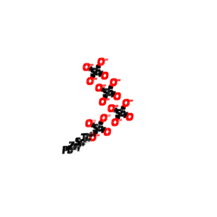 [O]=[Sb]([O-])([O-])[O-].[O]=[Sb]([O-])([O-])[O-].[O]=[Sb]([O-])([O-])[O-].[O]=[Sb]([O-])([O-])[O-].[Pb+2].[Sr+2].[Ti+4].[Zr+4]